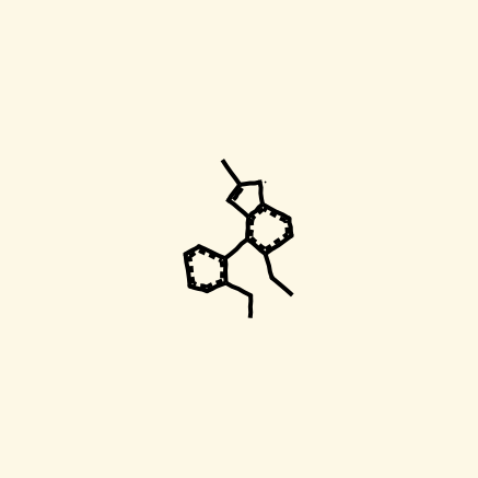 CCc1ccccc1-c1c(CC)ccc2c1C=C(C)[CH]2